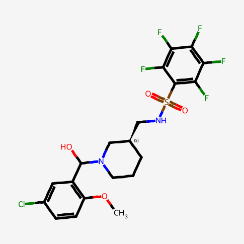 COc1ccc(Cl)cc1C(O)N1CCC[C@H](CNS(=O)(=O)c2c(F)c(F)c(F)c(F)c2F)C1